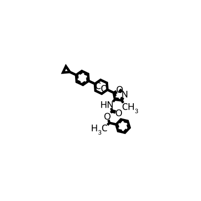 Cc1noc(C23CCC(c4ccc(C5CC5)cc4)(CC2)CC3)c1NC(=O)OC(C)c1ccccc1